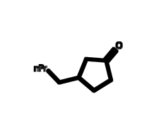 CCCCC1CCC(=O)C1